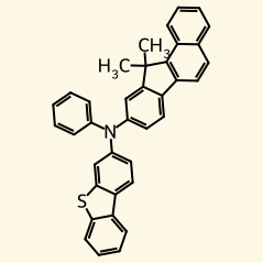 CC1(C)c2cc(N(c3ccccc3)c3ccc4c(c3)sc3ccccc34)ccc2-c2ccc3ccccc3c21